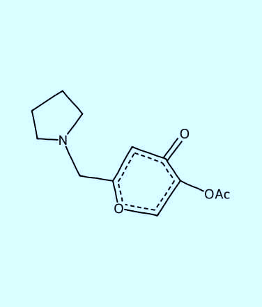 CC(=O)Oc1coc(CN2CCCC2)cc1=O